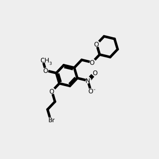 COc1cc(COC2CCCCO2)c([N+](=O)[O-])cc1OCCBr